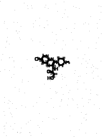 CN1CCN(c2nc3ncc(Cl)cc3nc2NC(=O)CO)CC1